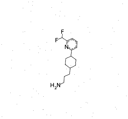 NCCCC1CCC(c2cccc(C(F)F)n2)CC1